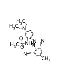 CCN(CC)c1ccc(/N=N/c2c(C#N)cc(C)cc2C#N)c(NS(C)(=O)=O)c1